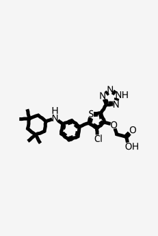 CC1(C)CC(Nc2cccc(-c3sc(-c4nn[nH]n4)c(OCC(=O)O)c3Cl)c2)CC(C)(C)C1